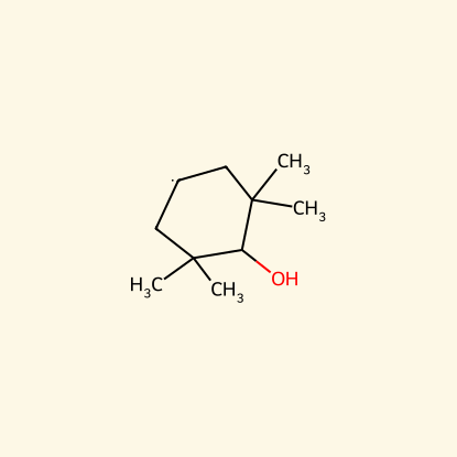 CC1(C)C[CH]CC(C)(C)C1O